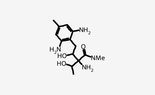 CNC(=O)C(N)(C(C)O)C(O)Cc1c(N)cc(C)cc1N